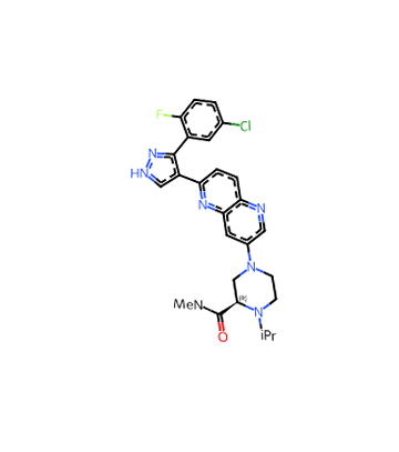 CNC(=O)[C@H]1CN(c2cnc3ccc(-c4c[nH]nc4-c4cc(Cl)ccc4F)nc3c2)CCN1C(C)C